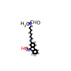 CN(C=O)CCCCCC/C=C/c1ccc2c(c1)/C(=N\O)c1ccccc1-2